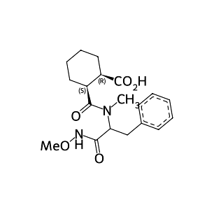 CONC(=O)C(Cc1ccccc1)N(C)C(=O)[C@H]1CCCC[C@H]1C(=O)O